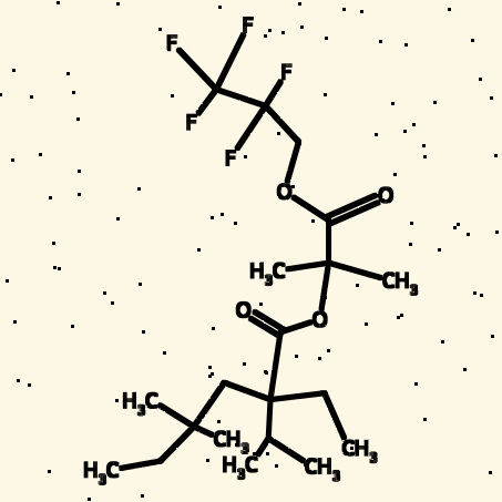 CCC(C)(C)CC(CC)(C(=O)OC(C)(C)C(=O)OCC(F)(F)C(F)(F)F)C(C)C